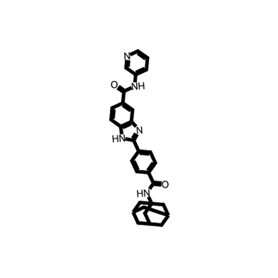 O=C(Nc1cccnc1)c1ccc2[nH]c(-c3ccc(C(=O)NC45CC6CC(CC(C6)C4)C5)cc3)nc2c1